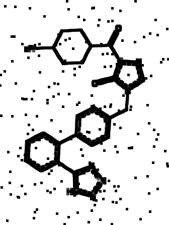 CCCC1CCC(C(=O)n2ncn(Cc3ccc(-c4ccccc4-c4nnn[nH]4)cc3)c2=O)CC1